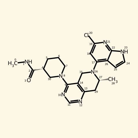 CNC(=O)[C@@H]1CCCN(c2ncnc3c2CN(c2cc(Cl)nc4[nH]ccc24)[C@H](C)C3)C1